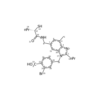 CCCc1nc2c(C)cc(CNC(=O)[C@@H](S)CCC)cc2n1Cc1ccc(C(=O)O)c(Br)c1